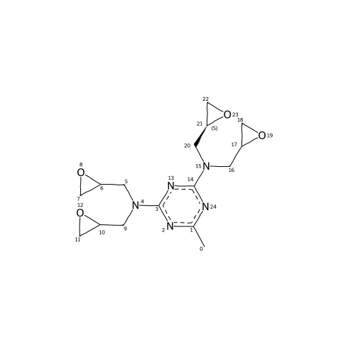 Cc1nc(N(CC2CO2)CC2CO2)nc(N(CC2CO2)C[C@H]2CO2)n1